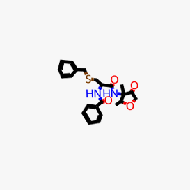 CC1OCC(=O)C1(C)NC(=O)C(CSCc1ccccc1)NC(=O)c1ccccc1